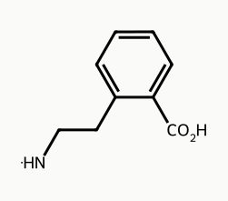 [NH]CCc1ccccc1C(=O)O